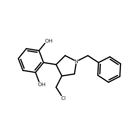 Oc1cccc(O)c1C1CN(Cc2ccccc2)CC1CCl